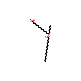 CCCCCCCCCCCCCCCC(=O)OC(CCCCC)CCCCCCCCCCCC(=O)OC